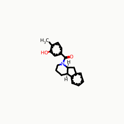 Cc1ccc(C(=O)N2CCC[C@@H]3c4ccccc4C[C@@H]32)cc1O